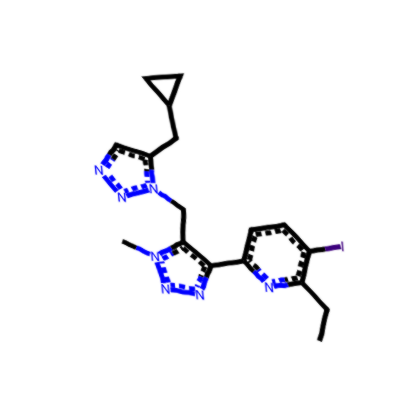 CCc1nc(-c2nnn(C)c2Cn2nncc2CC2CC2)ccc1I